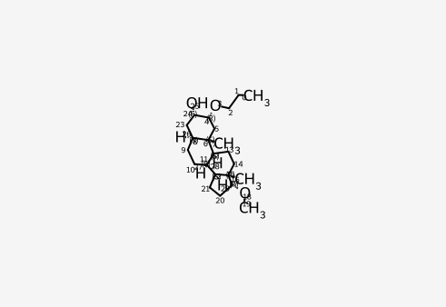 CCCO[C@@H]1C[C@@]2(C)[C@@H](CC[C@@H]3[C@@H]2CC[C@]2(C)[C@H](OC)CC[C@@H]32)C[C@@H]1O